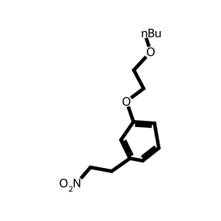 CCCCOCCOc1cccc(CC[N+](=O)[O-])c1